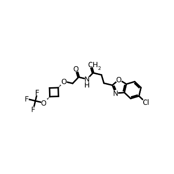 C=C(CCc1nc2cc(Cl)ccc2o1)NC(=O)CO[C@H]1C[C@@H](OC(F)(F)F)C1